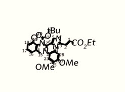 CCOC(=O)C=Cc1ncc2c(N(C(=O)OC(C)(C)C)c3c(C)cccc3Cl)nc3cc(OC)c(OC)cc3n12